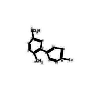 Cc1ccc(S(=O)(=O)O)cc1-c1ccc(I)cc1